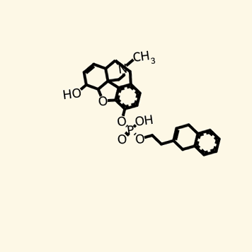 CN1CCC23c4c5ccc(OP(=O)(O)OCCC6=CCc7ccccc7C6)c4OC2C(O)C=CC3C1C5